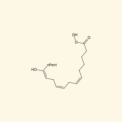 CCCCC/C(O)=C\C/C=C\C/C=C\CCCCC(=O)OO